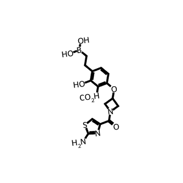 Nc1nc(C(=O)N2CC(Oc3ccc(CCB(O)O)c(O)c3C(=O)O)C2)cs1